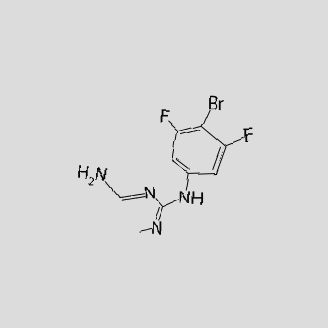 C/N=C(\N=C\N)Nc1cc(F)c(Br)c(F)c1